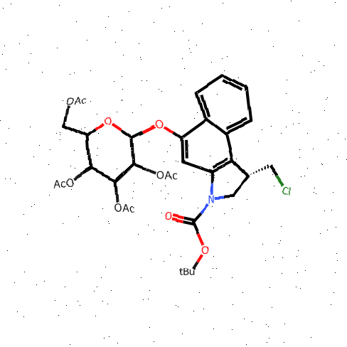 CC(=O)OCC1OC(Oc2cc3c(c4ccccc24)[C@H](CCl)CN3C(=O)OC(C)(C)C)C(OC(C)=O)C(OC(C)=O)C1OC(C)=O